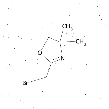 CC1(C)COC(CBr)=N1